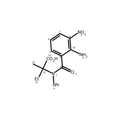 CCCN(C(=O)c1cccc([N+](=O)[O-])c1N)C(C)(CC)C(=O)O